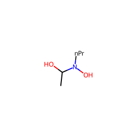 CCCN(O)C(C)O